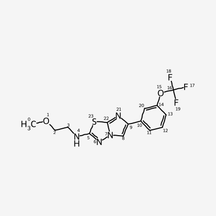 COCCNc1nn2cc(-c3cccc(OC(F)(F)F)c3)nc2s1